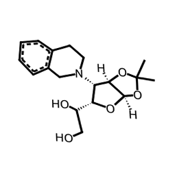 CC1(C)O[C@H]2O[C@H](C(O)CO)[C@H](N3CCc4ccccc4C3)[C@H]2O1